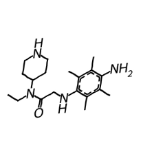 CCN(C(=O)CNc1c(C)c(C)c(N)c(C)c1C)C1CCNCC1